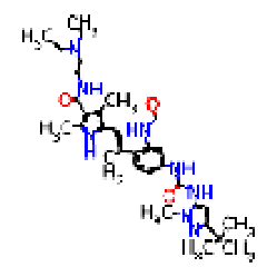 CCN(CC)CCNC(=O)c1c(C)[nH]c(/C=C(\C)c2ccc(NC(=O)Nc3cc(C(C)(C)C)nn3C)cc2NC=O)c1C